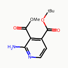 COC(=O)c1c(C(=O)OC(C)(C)C)ccnc1N